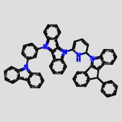 C1=CC(n2c3c(c4ccccc42)C(c2ccccc2)c2ccccc2-3)NC(n2c3ccccc3c3c2c2ccccc2n3-c2cccc(-n3c4ccccc4c4ccccc43)c2)=C1